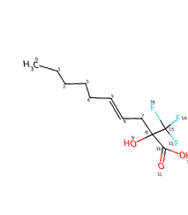 CCCCCC=CCC(O)(C(=O)O)C(F)(F)F